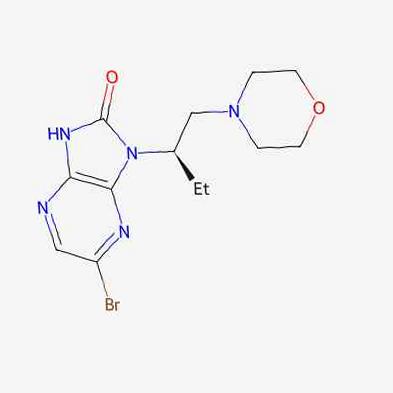 CC[C@H](CN1CCOCC1)n1c(=O)[nH]c2ncc(Br)nc21